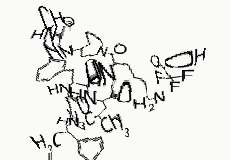 CNC(=O)NC1CCN(C(=O)C(CCCCN)NC(=O)C(CC(C)C)NC(=O)C(Cc2ccccc2)NC(=O)CNCC(C)c2ccccc2)CC1.O=C(O)C(F)(F)F